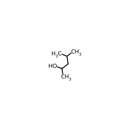 C[C](O)CC(C)C